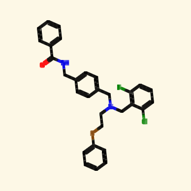 O=C(NCc1ccc(CN(CCSc2ccccc2)Cc2c(F)cccc2Cl)cc1)c1ccccc1